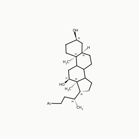 CC(=O)CC[C@@H](C)[C@H]1CCC2C3CC[C@@H]4C[C@H](O)CC[C@]4(C)C3C[C@H](O)[C@@]21C